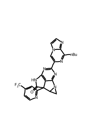 CCCCc1nc(-c2nc3c4c(n2)N2CC2C4(c2cc(C(F)(F)F)ccn2)C(=O)N3)cn2ccnc12